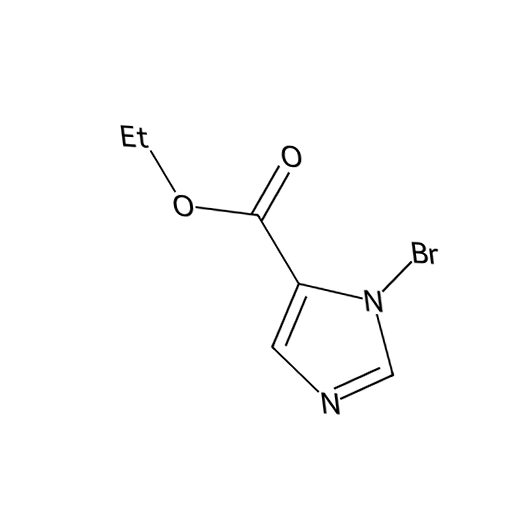 CCOC(=O)c1cncn1Br